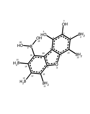 Bc1c(O)c(O)c2c(oc3c(B)c(B)c(B)c(B(O)O)c32)c1B